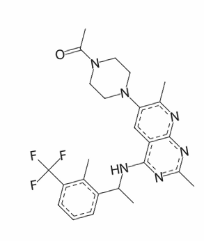 CC(=O)N1CCN(c2cc3c(NC(C)c4cccc(C(F)(F)F)c4C)nc(C)nc3nc2C)CC1